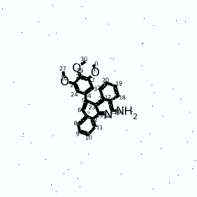 COc1cc(-c2cc3ccccc3c3nc(N)c4ccccc4c23)cc(OC)c1OC